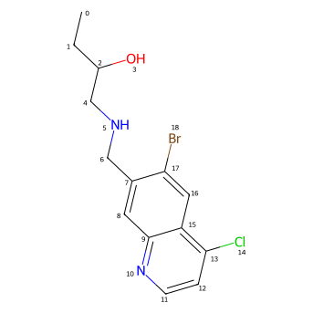 CCC(O)CNCc1cc2nccc(Cl)c2cc1Br